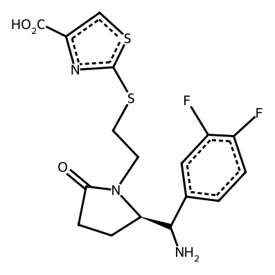 NC(c1ccc(F)c(F)c1)[C@H]1CCC(=O)N1CCSc1nc(C(=O)O)cs1